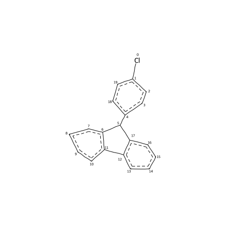 Clc1ccc(C2c3ccccc3-c3ccccc32)cc1